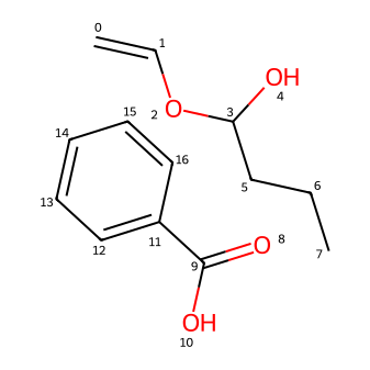 C=COC(O)CCC.O=C(O)c1ccccc1